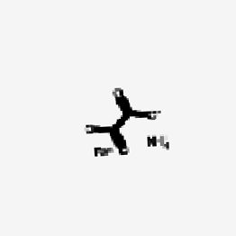 O=C([O-])C(=O)[O-].[Fe+].[NH4+]